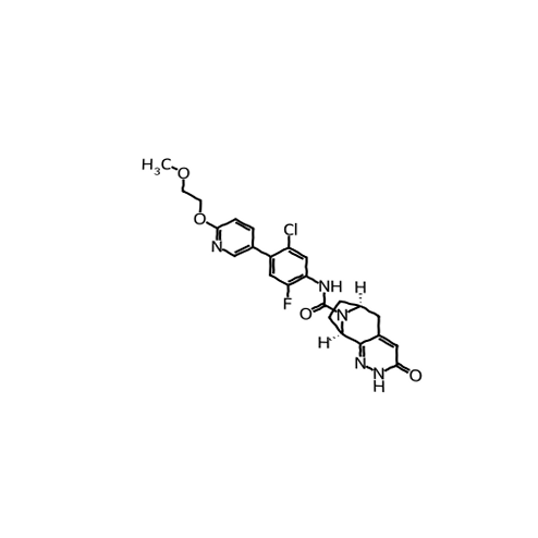 COCCOc1ccc(-c2cc(F)c(NC(=O)N3[C@H]4CC[C@@H]3c3n[nH]c(=O)cc3C4)cc2Cl)cn1